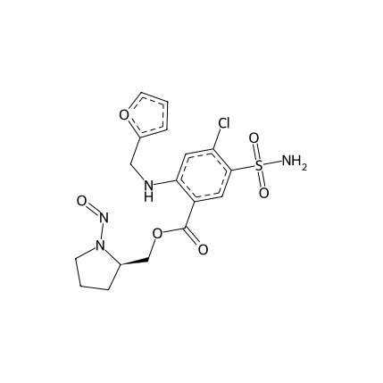 NS(=O)(=O)c1cc(C(=O)OC[C@H]2CCCN2N=O)c(NCc2ccco2)cc1Cl